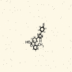 Cc1ncccc1C1CC(c2nc(-c3ccc(F)cc3)n[nH]2)CCN1C(=O)O